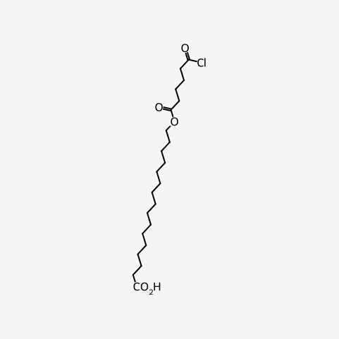 O=C(O)CCCCCCCCCCCCCCCOC(=O)CCCCC(=O)Cl